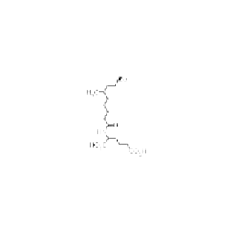 CCC(C)CCC(C)CCCCC(=O)NC(CCCC(=O)O)C(=O)O